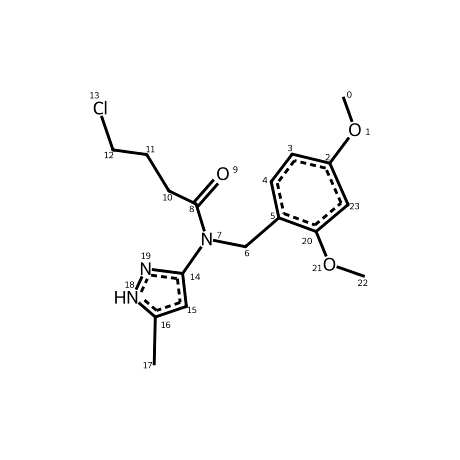 COc1ccc(CN(C(=O)CCCCl)c2cc(C)[nH]n2)c(OC)c1